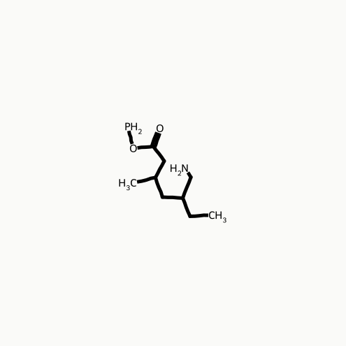 CCC(CN)CC(C)CC(=O)OP